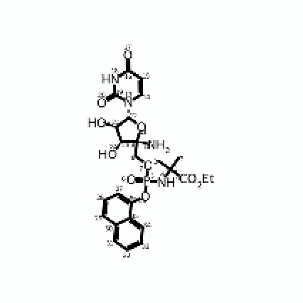 CCOC(=O)C(C)(C)NP(=O)(OC[C@@]1(N)O[C@@H](n2ccc(=O)[nH]c2=O)[C@H](O)[C@@H]1O)Oc1cccc2ccccc12